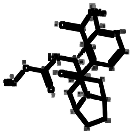 COC(=O)C[C@@H](NC(=O)OC(C)(C)C)C1CC2CCC(C1)N2C(=O)c1ccnc(F)c1